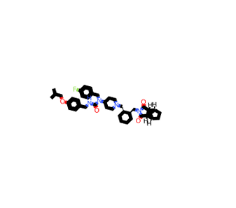 CC(C)COc1ccc(CNC(=O)N(Cc2ccc(F)cc2)C2CCN(C[C@H]3CCCC[C@@H]3CN3C(=O)[C@@H]4[C@H]5CC[C@H](C5)[C@@H]4C3=O)CC2)cc1